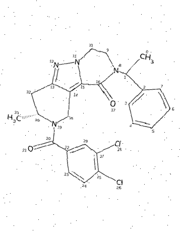 CC(c1ccccc1)N1CCn2nc3c(c2C1=O)CN(C(=O)c1ccc(Cl)c(Cl)c1)[C@H](C)C3